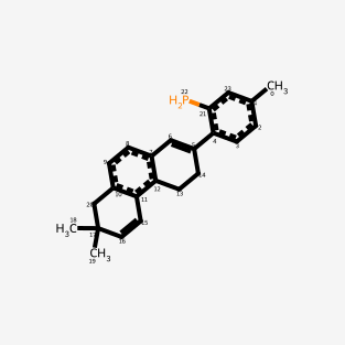 Cc1ccc(C2=Cc3ccc4c(c3CC2)C=CC(C)(C)C4)c(P)c1